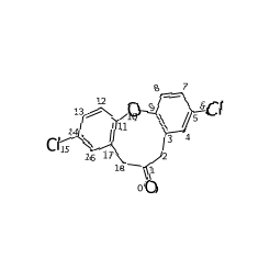 O=C1Cc2cc(Cl)ccc2Oc2ccc(Cl)cc2C1